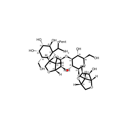 CCCCCC(N)[C@@]1(O[C@@H]2[C@H]3OC[C@@H]2O[C@@H](O[C@@H]2[C@@H](O)[C@H](O[C@@H]4[C@H]5OC[C@@H]4O[C@@H](O)[C@H]5O)O[C@H](CO)[C@H]2O)[C@H]3O)O[C@H](CO)[C@H](O)[C@H](O)[C@H]1O